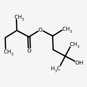 CCC(C)C(=O)OC(C)CC(C)(C)O